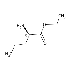 CCC[C@@H](N)C(=O)OCC